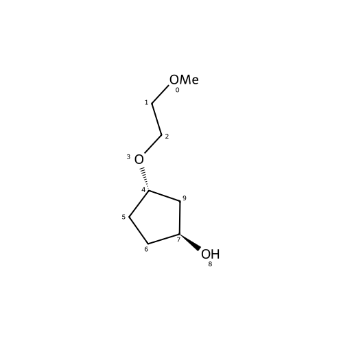 COCCO[C@H]1CC[C@H](O)C1